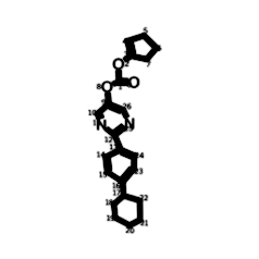 O=C(OC1=CCCC1)Oc1cnc(-c2ccc(C3CCCCC3)cc2)nc1